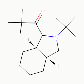 CC(C)(C)C(=O)C1[C@H]2CCCC[C@H]2CN1C(C)(C)C